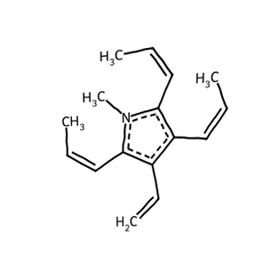 C=Cc1c(/C=C\C)c(/C=C\C)n(C)c1/C=C\C